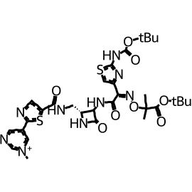 C[n+]1cncc(-c2ncc(C(=O)NC[C@H]3NC(=O)C3NC(=O)/C(=N\OC(C)(C)C(=O)OC(C)(C)C)c3csc(NC(=O)OC(C)(C)C)n3)s2)c1